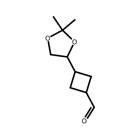 CC1(C)OCC(C2CC(C=O)C2)O1